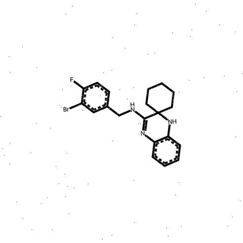 Fc1ccc(CNC2=Nc3ccccc3NC23CCCCC3)cc1Br